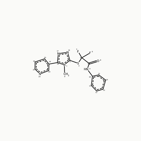 Cn1c(SC(F)(F)C(=O)Nc2ccccc2)nnc1-c1cccnc1